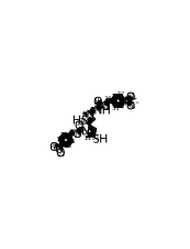 O=C(NCN1C=C([C@@H]2C[C@H](S)CN2C(=O)OCc2ccc([N+](=O)[O-])cc2)[SH]C1)OCc1ccc([N+](=O)[O-])cc1